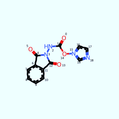 O=C(NN1C(=O)c2ccccc2C1=O)On1ccnc1